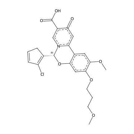 COCCCOc1cc2c(cc1OC)-c1cc(=O)c(C(=O)O)cn1[C@@H](C1=C(Cl)C=CC1)O2